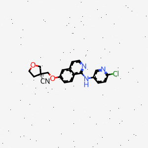 N#C[C@]1(COc2ccc3c(Nc4ccc(Cl)nc4)nccc3c2)CCOC1